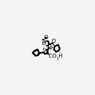 CC(CS(C)(=O)=O)(Nc1sc(-c2ccccc2)cc1C(=O)O)C(=O)[C@H]1CC[C@H](C)CC1